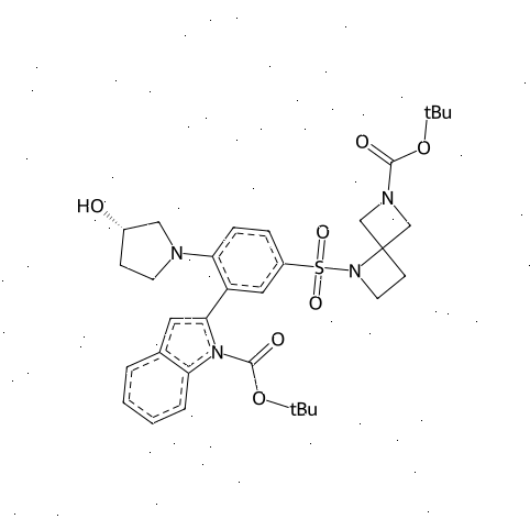 CC(C)(C)OC(=O)N1CC2(CCN2S(=O)(=O)c2ccc(N3CC[C@H](O)C3)c(-c3cc4ccccc4n3C(=O)OC(C)(C)C)c2)C1